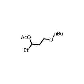 CCCCOCCC(CC)OC(C)=O